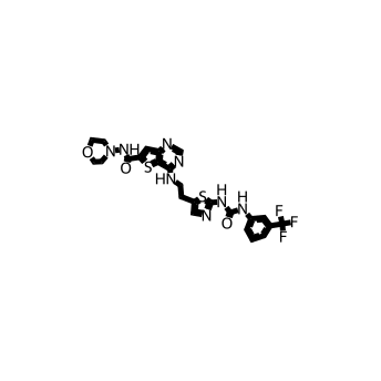 O=C(Nc1cccc(C(F)(F)F)c1)Nc1ncc(CCNc2ncnc3cc(C(=O)NN4CCOCC4)sc23)s1